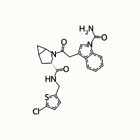 NC(=O)n1cc(CC(=O)N2C3CC3C[C@H]2C(=O)NCc2ccc(Cl)s2)c2ccccc21